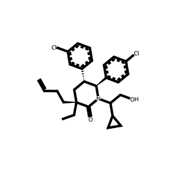 C=CCC[C@@]1(CC)C[C@H](c2cccc(Cl)c2)[C@@H](c2ccc(Cl)cc2)N(C(CO)C2CC2)C1=O